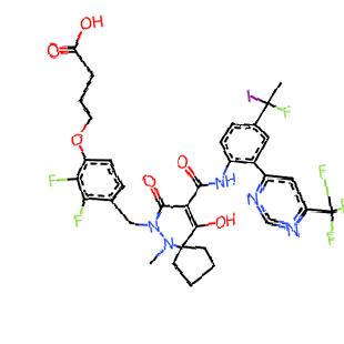 CN1N(Cc2ccc(OCCCC(=O)O)c(F)c2F)C(=O)C(C(=O)Nc2ccc(C(C)(F)I)cc2-c2cc(C(F)(F)F)ncn2)=C(O)C12CCCC2